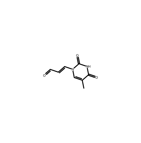 Cc1cn(C=CC=O)c(=O)[nH]c1=O